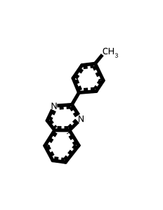 Cc1ccc(-c2ncc3ccccc3n2)cc1